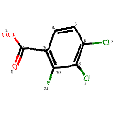 O=C(O)c1ccc(Cl)c(Cl)c1F